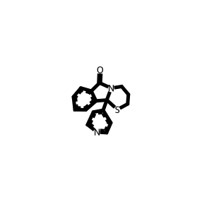 O=C1c2ccccc2C2(c3ccncc3)SCCCN12